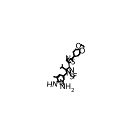 Cc1cc(-c2c(C(C)C)c(-c3cnc(C4CCC5(CC4)OCCO5)s3)nn2SF)cn(N)c1=N